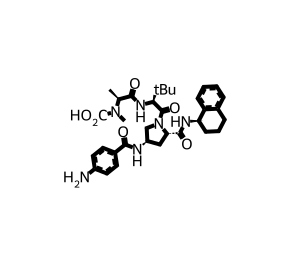 C[C@@H](C(=O)N[C@H](C(=O)N1C[C@@H](NC(=O)c2ccc(N)cc2)C[C@H]1C(=O)N[C@@H]1CCCc2ccccc21)C(C)(C)C)N(C)C(=O)O